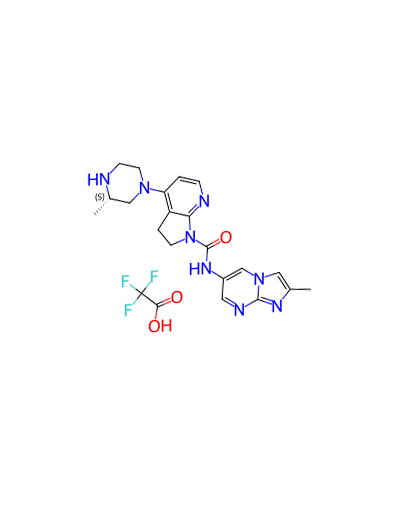 Cc1cn2cc(NC(=O)N3CCc4c(N5CCN[C@@H](C)C5)ccnc43)cnc2n1.O=C(O)C(F)(F)F